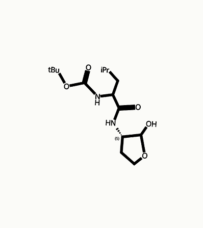 CC(C)CC(NC(=O)OC(C)(C)C)C(=O)N[C@H]1CCOC1O